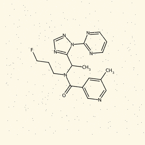 Cc1cncc(C(=O)N(CCCF)C(C)c2ncnn2-c2ncccn2)c1